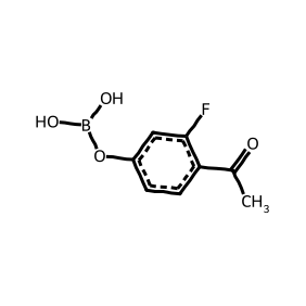 CC(=O)c1ccc(OB(O)O)cc1F